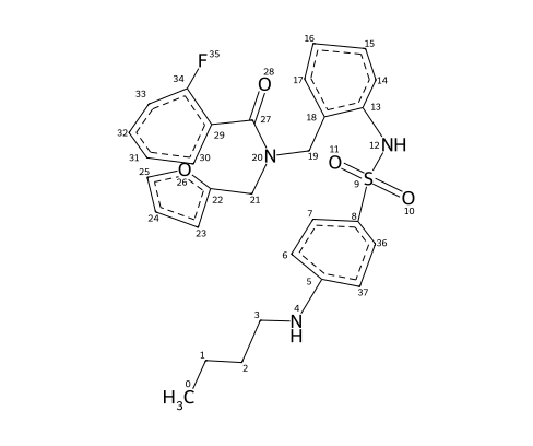 CCCCNc1ccc(S(=O)(=O)Nc2ccccc2CN(Cc2ccco2)C(=O)c2ccccc2F)cc1